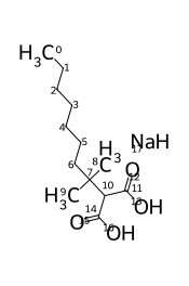 CCCCCCCC(C)(C)C(C(=O)O)C(=O)O.[NaH]